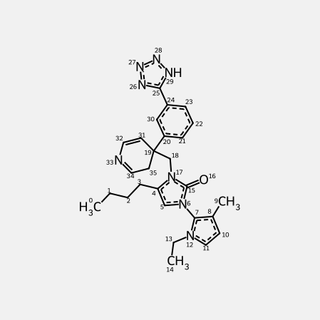 CCCCc1cn(-c2c(C)ccn2CC)c(=O)n1CC1(c2cccc(-c3nnn[nH]3)c2)C=CN=CC1